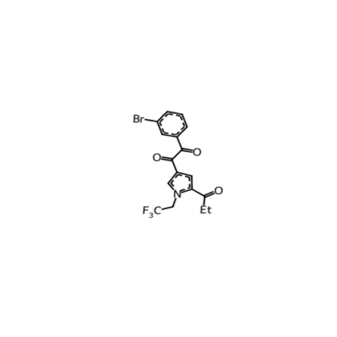 CCC(=O)c1cc(C(=O)C(=O)c2cccc(Br)c2)cn1CC(F)(F)F